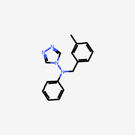 Cc1cccc(CN(c2ccccc2)n2cnnc2)c1